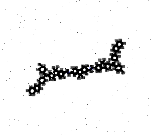 CC1=CC=C(N(C2=CCC(c3ccc4c(c3)C=CCC4)C=C2)c2ccc3c(c2)C(C)(C)c2cc(/C=C/c4ccc5c(c4)C(C)(C)c4cc(/C=C/c6ccc7c(c6)C(C)(C)c6cc(N(c8ccc(C)cc8)c8ccc(-c9ccc%10ccccc%10c9)cc8)ccc6-7)ccc4-5)ccc2-3)CC1